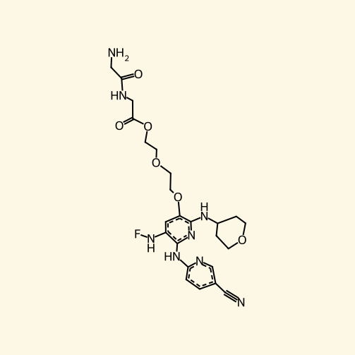 N#Cc1ccc(Nc2nc(NC3CCOCC3)c(OCCOCCOC(=O)CNC(=O)CN)cc2NF)nc1